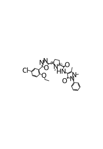 CCOc1ccc(Cl)cc1-c1nnc([C@H]2CC[C@@H](C(=O)Nc3c(C)n(C)n(-c4ccccc4)c3=O)N2C)o1